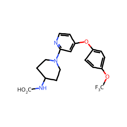 O=C(O)NC1CCN(c2cc(Oc3ccc(OC(F)(F)F)cc3)ccn2)CC1